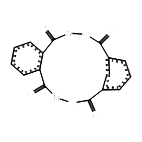 O=C1ONC(=O)c2ccccc2C(=O)NOC(=O)c2cccc1c2